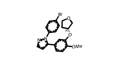 COc1ccc(-c2ccnn2-c2ccc(Br)cc2)cc1O[C@@H]1CCOC1